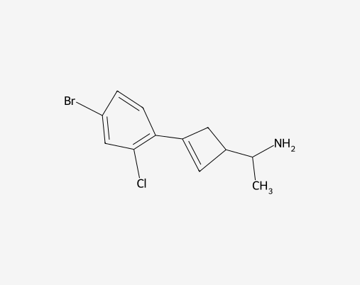 CC(N)C1C=C(c2ccc(Br)cc2Cl)C1